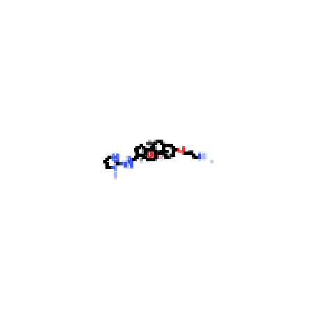 C[C@]12CCC(OCCCN)CC1CC[C@@H]1[C@H]2CC[C@]2(C)C(/C=N/NC3=NCCCN3)CC[C@@]12O